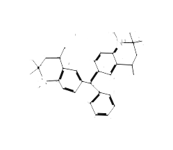 CC1CC(C)(C)N(C)c2ccc(C(c3ccccc3)=c3ccc4c(c3)C(C)CC(C)(C)[N+]=4C)cc21.[Cl-]